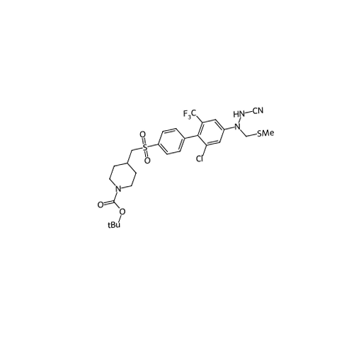 CSCN(NC#N)c1cc(Cl)c(-c2ccc(S(=O)(=O)CC3CCN(C(=O)OC(C)(C)C)CC3)cc2)c(C(F)(F)F)c1